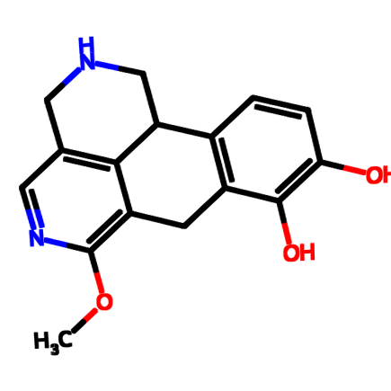 COc1ncc2c3c1Cc1c(ccc(O)c1O)C3CNC2